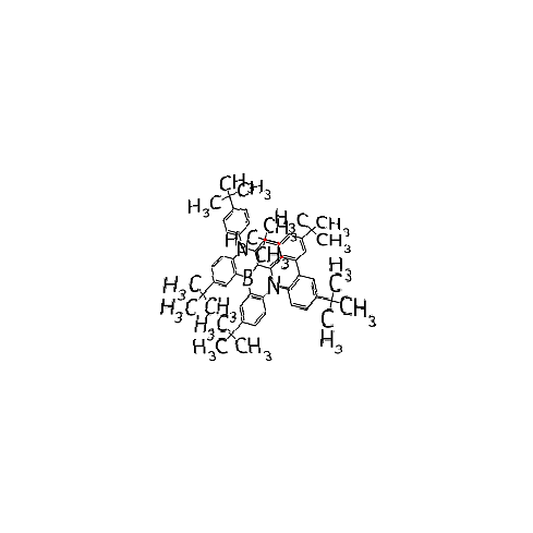 CC(C)(C)c1ccc(N2c3ccc(C(C)(C)C)cc3B3c4cc(C(C)(C)C)ccc4N(c4ccc(C(C)(C)C)cc4-c4cc(C(C)(C)C)cc(C(C)(C)C)c4)c4cccc2c43)cc1